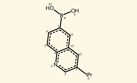 CC(C)c1cnc2ccc(B(O)O)cc2c1